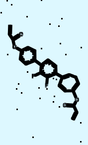 C=CC(=O)OC1=CCC=C(c2ccc(-c3ccc(OC(=O)C=C)cc3)c(F)c2F)C=C1